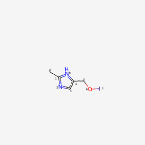 Cc1ncc(COI)[nH]1